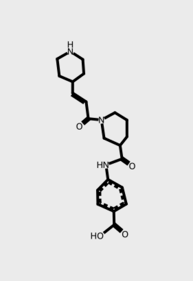 O=C(O)c1ccc(NC(=O)C2CCCN(C(=O)C=CC3CCNCC3)C2)cc1